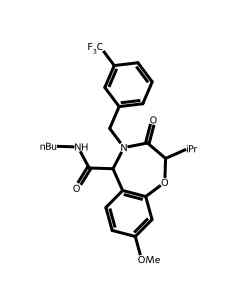 CCCCNC(=O)C1c2ccc(OC)cc2OC(C(C)C)C(=O)N1Cc1cccc(C(F)(F)F)c1